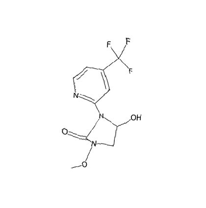 CON1CC(O)N(c2cc(C(F)(F)F)ccn2)C1=O